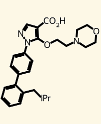 CC(C)Cc1ccccc1-c1ccc(-n2ncc(C(=O)O)c2OCCN2CCOCC2)cc1